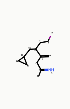 C=C(CC(C)=N)C(CCI)CC1CC1